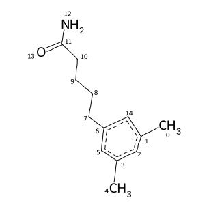 Cc1cc(C)cc(CCCCC(N)=O)c1